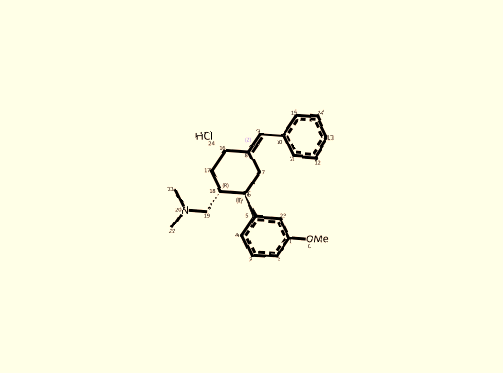 COc1cccc([C@@H]2C/C(=C\c3ccccc3)CC[C@H]2CN(C)C)c1.Cl